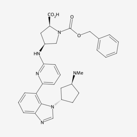 CN[C@H]1CC[C@H](n2cnc3cccc(-c4cccc(N[C@H]5C[C@@H](C(=O)O)N(C(=O)OCc6ccccc6)C5)n4)c32)C1